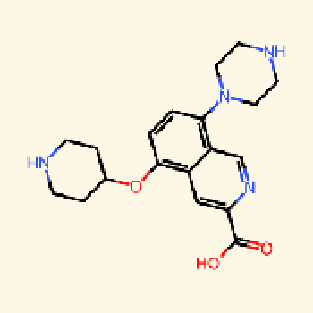 O=C(O)c1cc2c(OC3CCNCC3)ccc(N3CCNCC3)c2cn1